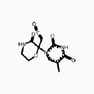 Cc1cn(C2(C=C=O)OCCNC2=O)c(=O)[nH]c1=O